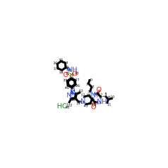 CCCCN1C(=O)[C@H](CC(C)C)NC(=O)C12CCN(Cc1c(C)nn(-c3ccc(S(=O)(=O)NC4CCCCC4)cc3)c1C)CC2.Cl